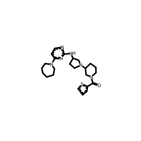 O=C(c1cccs1)N1CCCC(N2CCC(Nc3nccc(N4CCCCCC4)n3)C2)C1